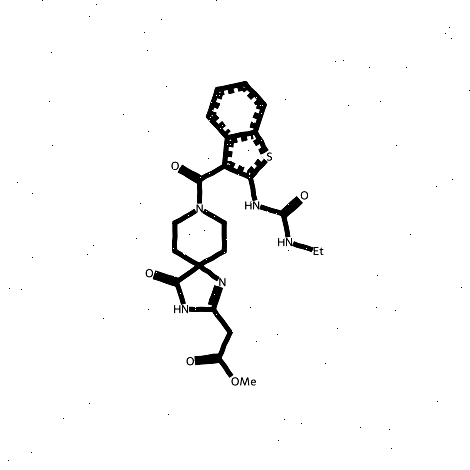 CCNC(=O)Nc1sc2ccccc2c1C(=O)N1CCC2(CC1)N=C(CC(=O)OC)NC2=O